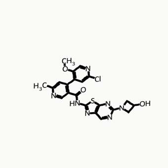 COc1cnc(Cl)cc1-c1cc(C)ncc1C(=O)Nc1nc2cnc(N3CC(O)C3)nc2s1